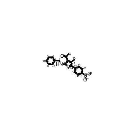 CC(=O)c1c(NCc2ccccc2)sc(-c2ccc([N+](=O)[O-])cc2)c1C